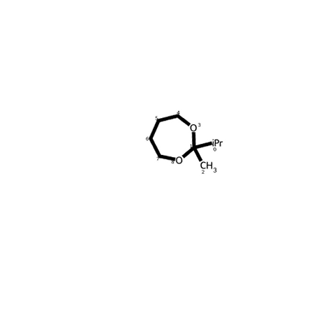 CC(C)C1(C)OCCCCO1